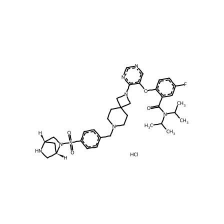 CC(C)N(C(=O)c1cc(F)ccc1Oc1cncnc1N1CC2(CCN(Cc3ccc(S(=O)(=O)N4C[C@@H]5C[C@H]4CN5)cc3)CC2)C1)C(C)C.Cl